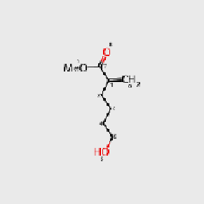 C=C(CCCCO)C(=O)OC